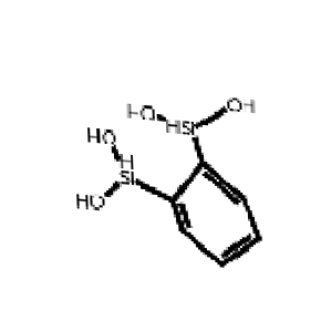 O[SiH](O)c1ccccc1[SiH](O)O